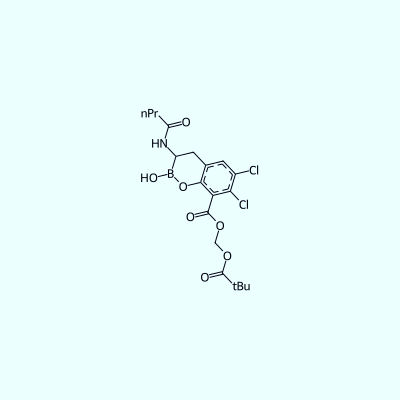 CCCC(=O)NC1Cc2cc(Cl)c(Cl)c(C(=O)OCOC(=O)C(C)(C)C)c2OB1O